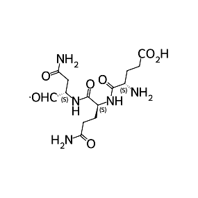 NC(=O)CC[C@H](NC(=O)[C@@H](N)CCC(=O)O)C(=O)N[C@H]([C]=O)CC(N)=O